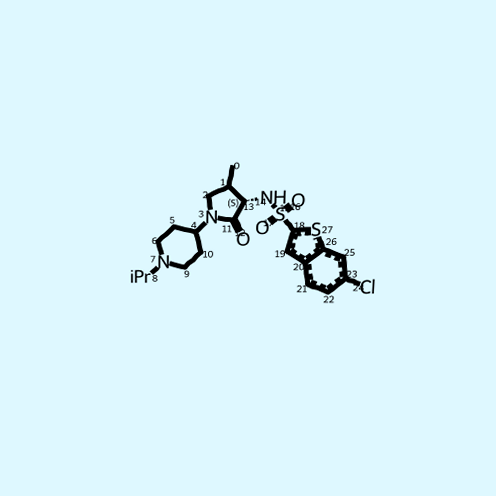 CC1CN(C2CCN(C(C)C)CC2)C(=O)[C@H]1NS(=O)(=O)c1cc2ccc(Cl)cc2s1